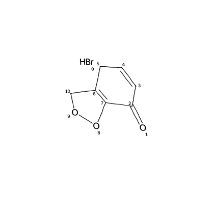 Br.O=C1C=CCC2=C1OOC2